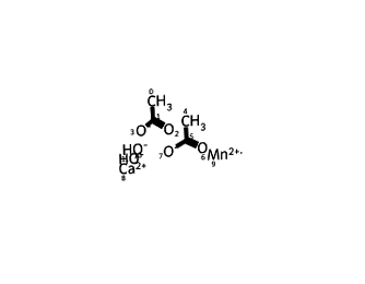 CC(=O)[O-].CC(=O)[O-].[Ca+2].[Mn+2].[OH-].[OH-]